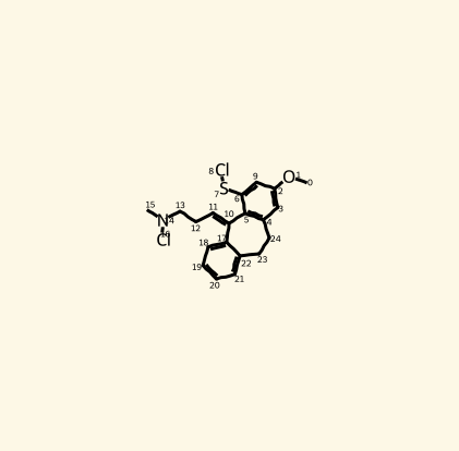 COc1cc2c(c(SCl)c1)/C(=C/CCN(C)Cl)c1ccccc1CC2